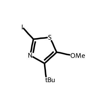 COc1sc(I)nc1C(C)(C)C